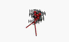 CCCCCCCCCCCCC/C=C/[C@@H](O)[C@H](CO[C@@H]1OC(CO)[C@@H](O[C@@H]2OC(CO)[C@H](O)[C@H](O[C@@H]3OC(CO)[C@@H](O[C@@H]4OC(CO)[C@H](O)[C@H](O)C4O[C@H]4OC(C)[C@@H](O)C(O)[C@@H]4O)[C@H](O[C@H]4OC(C)[C@@H](O)C(O)[C@@H]4O)C3NC(C)=O)C2O)[C@H](O)C1O)NC(=O)CCCCCCCCCCCCCCCCCCCCC